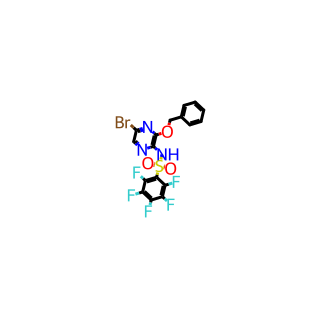 O=S(=O)(Nc1ncc(Br)nc1OCc1ccccc1)c1c(F)c(F)c(F)c(F)c1F